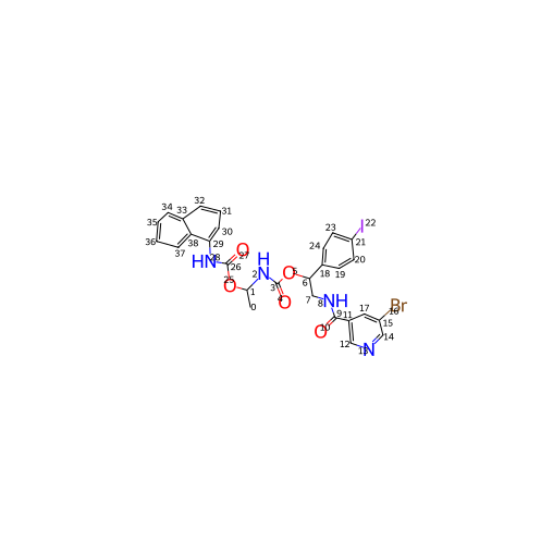 CC(NC(=O)OC(CNC(=O)c1cncc(Br)c1)c1ccc(I)cc1)OC(=O)Nc1cccc2ccccc12